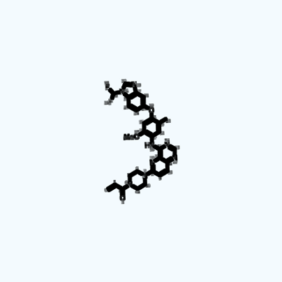 C=CC(=O)N1CCN(c2ccc3ncnc(Nc4cc(C)c(Oc5ccc6c(c5)ncn6C(F)F)cc4OC)c3n2)CC1